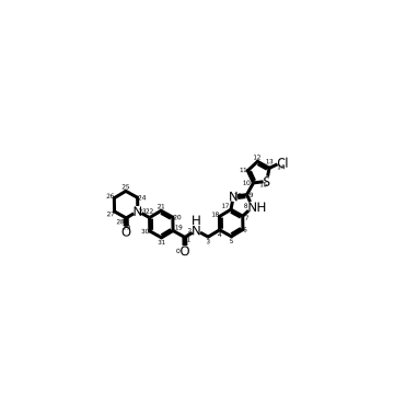 O=C(NCc1ccc2[nH]c(-c3ccc(Cl)s3)nc2c1)c1ccc(N2CCCCC2=O)cc1